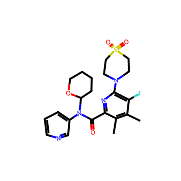 Cc1c(C(=O)N(c2cccnc2)C2CCCCO2)nc(N2CCS(=O)(=O)CC2)c(F)c1C